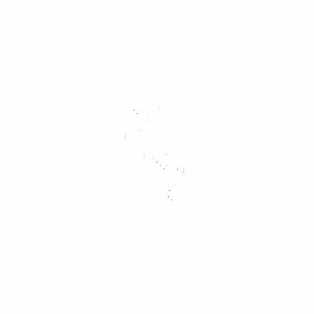 Cc1cc(-c2ccn3nc(Nc4ccn(C)n4)cc3c2)c(F)cn1